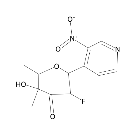 CC1OC(c2ccncc2[N+](=O)[O-])C(F)C(=O)C1(C)O